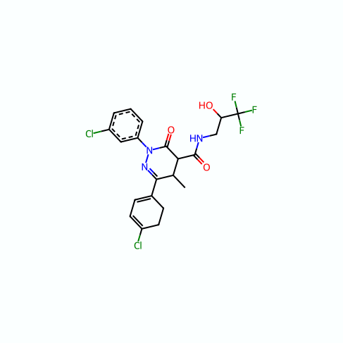 CC1C(C2=CC=C(Cl)CC2)=NN(c2cccc(Cl)c2)C(=O)C1C(=O)NCC(O)C(F)(F)F